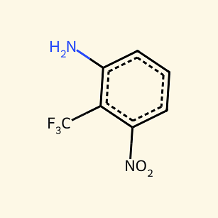 Nc1cccc([N+](=O)[O-])c1C(F)(F)F